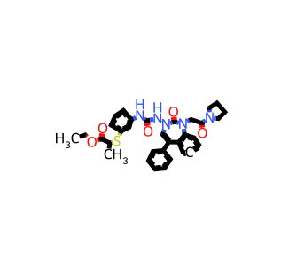 CCOC(=O)C(C)Sc1cccc(NC(=O)NN2C=C(c3ccccc3)c3ccccc3N(CC(=O)N3CCCC3)C2=O)c1